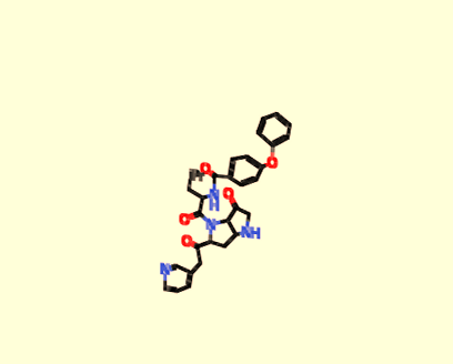 CC(C)CC(NC(=O)c1ccc(Oc2ccccc2)cc1)C(=O)N1C(C(=O)Cc2cccnc2)CC2NCC(=O)C21